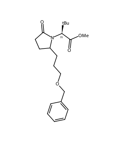 COC(=O)[C@@H](N1C(=O)CCC1CCCOCc1ccccc1)C(C)(C)C